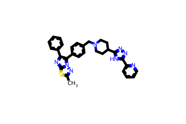 Cc1nn2c(-c3ccc(CN4CCC(c5nnc(-c6ccccn6)[nH]5)CC4)cc3)c(-c3ccccc3)nc2s1